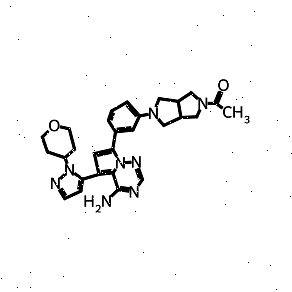 CC(=O)N1CC2CN(c3cccc(-c4cc(-c5ccnn5C5CCOCC5)c5c(N)ncnn45)c3)CC2C1